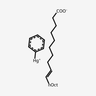 CCCCCCCCC=CCCCCCCCC(=O)[O-].[Hg+][c]1ccccc1